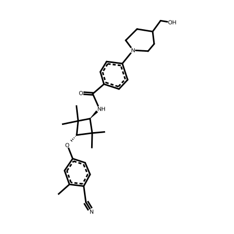 Cc1cc(O[C@H]2C(C)(C)[C@H](NC(=O)c3ccc(N4CCC(CO)CC4)cc3)C2(C)C)ccc1C#N